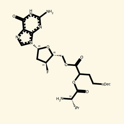 CCCCCCCCCCCCC(OC(=O)[C@@H](N)C(C)C)C(=O)OC[C@H]1O[C@@H](n2cnc3c(=O)[nH]c(N)nc32)C[C@@H]1F